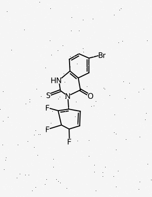 O=c1c2cc(Br)ccc2[nH]c(=S)n1C1=C(F)C(F)C(F)C=C1